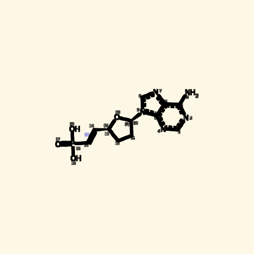 Nc1ncnc2c1ncn2[C@H]1CC[C@@H](/C=C/P(=O)(O)O)O1